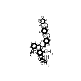 [C-]#[N+]c1cccc(CN(Cc2ccc(Oc3cccc(OC4CCOC4)c3)cc2)c2cccc(NS(C)(=O)=O)c2C)c1